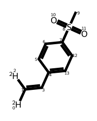 [2H]C([2H])=Cc1ccc(S(C)(=O)=O)cc1